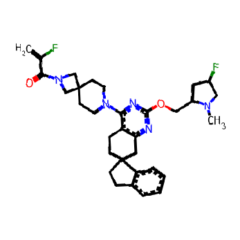 C=C(F)C(=O)N1CC2(CCN(c3nc(OCC4CC(F)CN4C)nc4c3CCC3(CCc5ccccc53)C4)CC2)C1